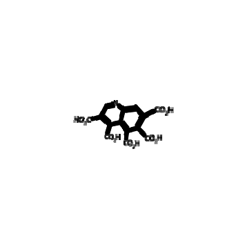 O=C(O)c1cc2ncc(C(=O)O)c(C(=O)O)c2c(C(=O)O)c1C(=O)O